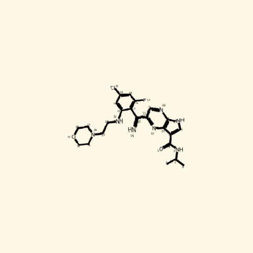 CC(C)NC(=O)c1c[nH]c2ncc(C(=N)c3c(F)cc(Cl)cc3NCCN3CCOCC3)nc12